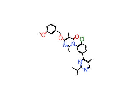 COc1cccc(COc2nc(C)n(-c3cc(-c4nc(C(C)C)ncc4C)ccc3Cl)c(=O)c2C)c1